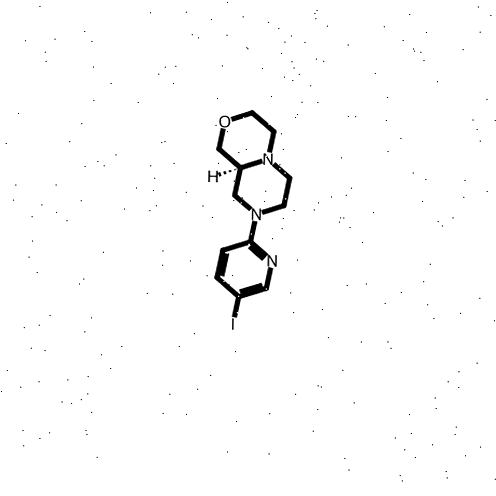 Ic1ccc(N2CCN3CCOC[C@@H]3C2)nc1